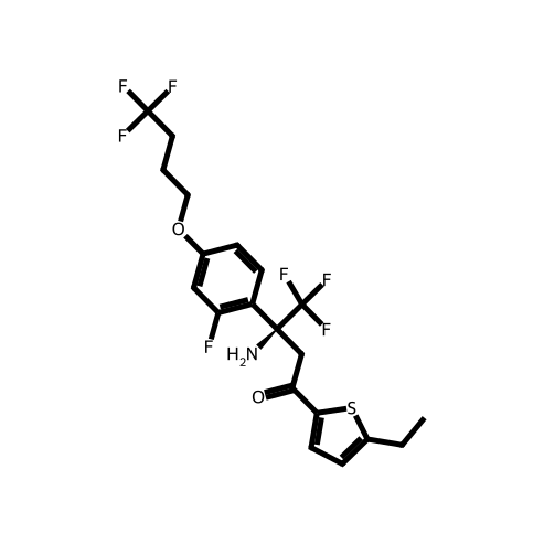 CCc1ccc(C(=O)C[C@](N)(c2ccc(OCCCC(F)(F)F)cc2F)C(F)(F)F)s1